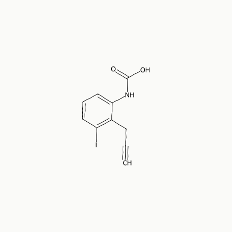 C#CCc1c(I)cccc1NC(=O)O